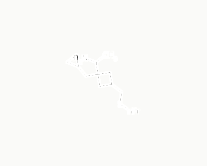 CCCSCC1CC(CC2CC2)(C(C)N)C1